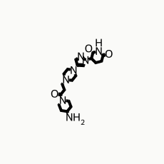 NC1CCN(C(=O)CCN2CCN(c3cnn(C4CCC(=O)NC4=O)c3)CC2)CC1